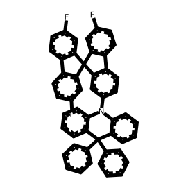 Fc1ccc2c(c1)C1(c3cc(F)ccc3-2)c2cc(F)ccc2-c2ccc(N3c4ccccc4C(c4ccccc4)(c4ccccc4)c4ccccc43)cc21